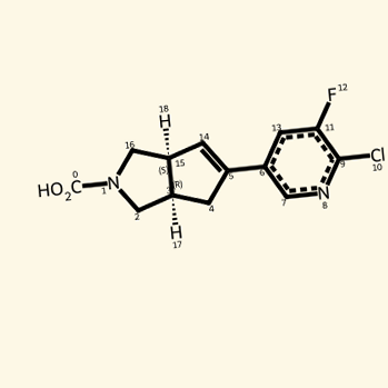 O=C(O)N1C[C@@H]2CC(c3cnc(Cl)c(F)c3)=C[C@@H]2C1